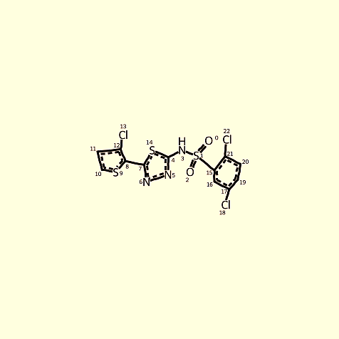 O=S(=O)(Nc1nnc(-c2sccc2Cl)s1)c1cc(Cl)ccc1Cl